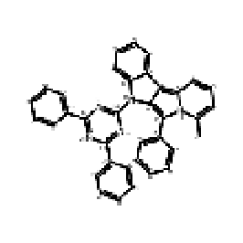 Cc1cccc2c3c4ccccc4n(-c4nc(-c5ccccc5)nc(-c5ccccc5)n4)c3c(-c3ccccc3)n12